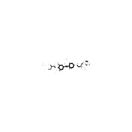 CC(=O)OC(CCl)COc1c(Cl)cc(C(C)(C)c2ccc(OCC(C)Cn3ccnc3)cc2)cc1Cl